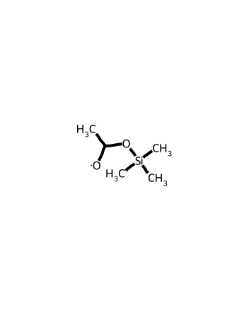 CC([O])O[Si](C)(C)C